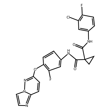 O=C(Nc1ccc(Oc2ccc3nccn3n2)c(F)c1)C1(C(=O)Nc2ccc(F)c(Cl)c2)CC1